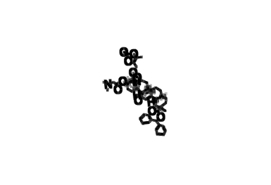 Cc1oc(=O)oc1COC(=O)[C@]1(C)[C@@H](OC(=O)CN(C)C)CC[C@@]2(C)[C@H]1CC[C@]1(C)[C@@H]2C(=O)C=C2[C@@H]3C[C@@](C)(C(=O)OC(c4ccccc4)c4ccccc4)CC[C@]3(C)CC[C@]21C